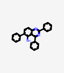 Nc1c(-c2ccccc2)ccc2nc(-c3ccccc3)nc(-c3ccccc3)c12